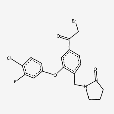 O=C(CBr)c1ccc(CN2CCCC2=O)c(Oc2ccc(Cl)c(F)c2)c1